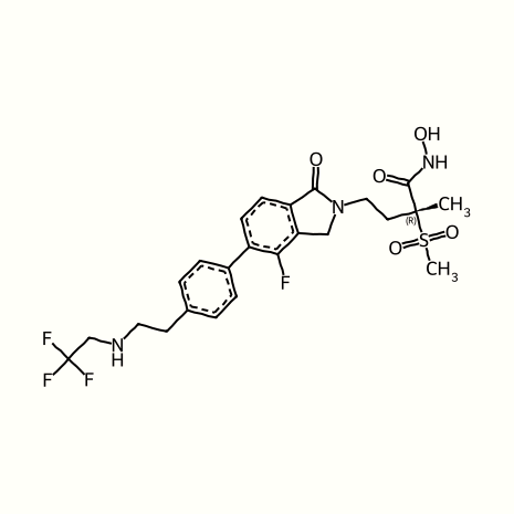 C[C@@](CCN1Cc2c(ccc(-c3ccc(CCNCC(F)(F)F)cc3)c2F)C1=O)(C(=O)NO)S(C)(=O)=O